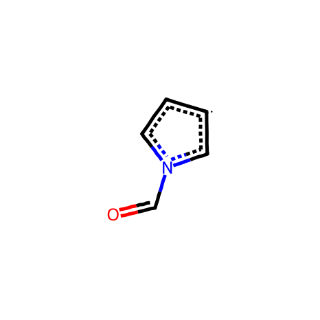 O=Cn1c[c]cc1